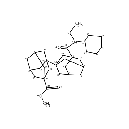 CCN(C(=O)C12CC3CC(C1)CC(C14CC5CC(CC(C(=O)OC)(C5)C1)C4)(C3)C2)C1CCCCC1